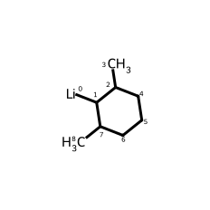 [Li][CH]1C(C)CCCC1C